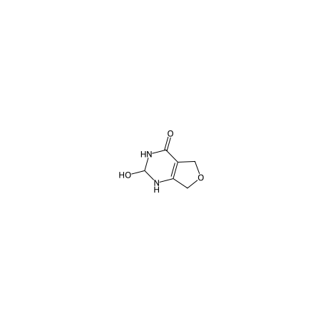 O=C1NC(O)NC2=C1COC2